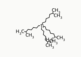 CC(C)CCCC[CH2][Ti]([CH2]CCCCC(C)C)([CH2]CCCCC(C)C)[CH2]CCCCC(C)C